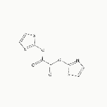 O=C(Oc1nccs1)C(=O)Oc1nccs1